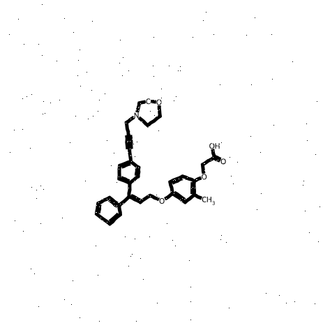 Cc1cc(OCC=C(c2ccccc2)c2ccc(C#CCN3CCOCC3)cc2)ccc1OCC(=O)O